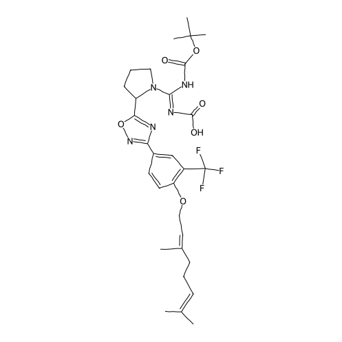 CC(C)=CCC/C(C)=C/COc1ccc(-c2noc(C3CCCN3C(=NC(=O)O)NC(=O)OC(C)(C)C)n2)cc1C(F)(F)F